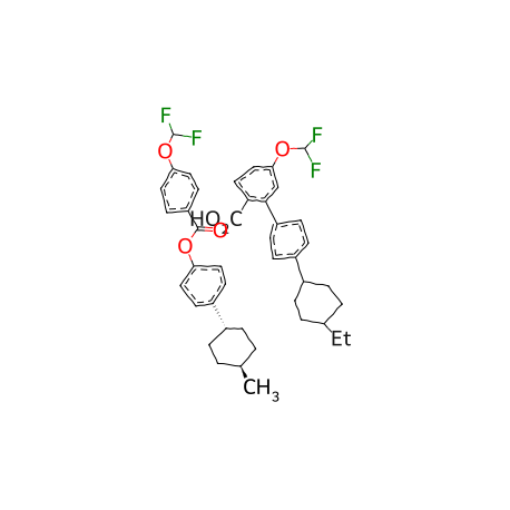 CCC1CCC(c2ccc(-c3cc(OC(F)F)ccc3C(=O)O)cc2)CC1.C[C@H]1CC[C@H](c2ccc(OC(=O)c3ccc(OC(F)F)cc3)cc2)CC1